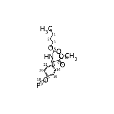 CCCCOC(=O)NC(C(=O)OC)c1ccc(OCF)cc1